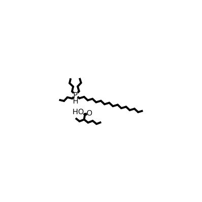 CCCCC(CC)C(=O)O.CCCCCCCCCCCCCCCC[PH](CCCC)(CCCC)CCCC